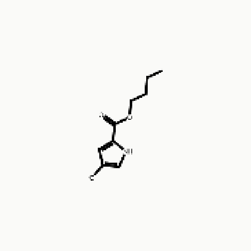 CCCCOC(=O)c1cc([O])c[nH]1